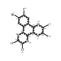 Fc1cc2c(cc1Br)c1nc(F)c(Cl)nc1c1nc(F)c(I)nc21